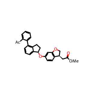 COC(=O)C[C@@H]1COc2cc(O[C@@H]3CCc4c(-c5ccccc5C(C)=O)cccc43)ccc21